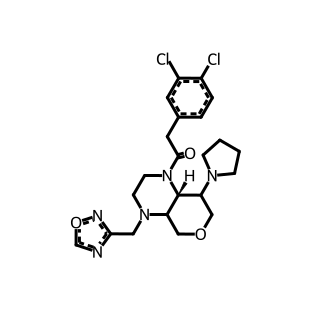 O=C(Cc1ccc(Cl)c(Cl)c1)N1CCN(Cc2ncon2)C2COCC(N3CCCC3)[C@H]21